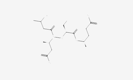 CC(O)CC(=O)N(N[C@@H](CO)C(=O)N[C@@H](CCC(N)=O)C(=O)O)[C@@H](CC(N)=O)C(=O)O